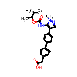 CC(C)C(C)OC(=O)Nc1c(-c2ccc(-c3ccc(CC(=O)O)cc3)cc2)cnn1C